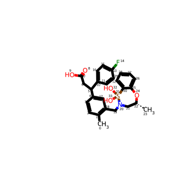 Cc1ccc(C(CC(=O)O)c2ccc(F)cc2)cc1CN1C[C@@H](C)Oc2ccccc2S1(O)O